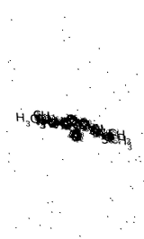 CC1(C)CSC(c2ccc(-c3ccc4c(ccc5c6ccc(-c7ccc(C8=NC(C)(C)CS8)nc7)cc6n(-c6ccccc6)c45)c3)cn2)=N1